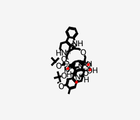 COc1c(C)cc2c(c1OC(C)(C)C)[C@@H]1C3[C@@H]4SC[C@]5(NCCc6c5[nH]c5ccccc65)C(=O)COC[C@@H](c5c6c(c(C)c(OC(=O)OC(C)(C)C)c54)OCO6)N3[C@@H](O)[C@H](C2)N1C